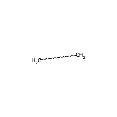 [CH2]CCCC=CCCCCCCCCCCCCCCCCCCCCC[CH2]